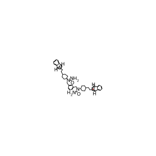 NC(=O)N(Cc1cccc(CN(C(N)=O)C2CCC(CCN3[C@@H]4CC[C@H]3c3ccccc34)CC2)c1)C1CCC(CCN2[C@@H]3CC[C@H]2c2ccccc23)CC1